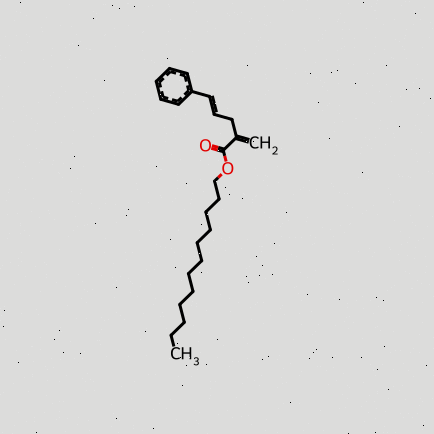 C=C(CC=Cc1ccccc1)C(=O)OCCCCCCCCCCCC